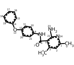 Cc1cc(C)c(C(=O)Nc2ccc(Oc3ccccc3)cc2)c(N)n1